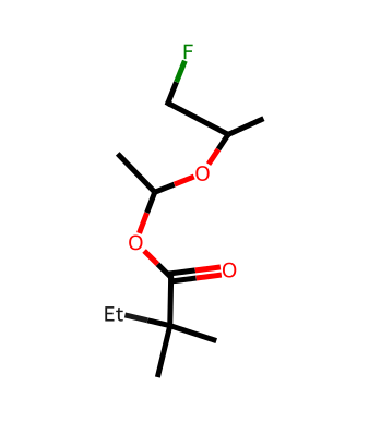 CCC(C)(C)C(=O)OC(C)OC(C)CF